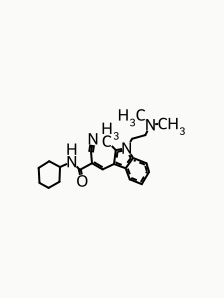 Cc1c(C=C(C#N)C(=O)NC2CCCCC2)c2ccccc2n1CCN(C)C